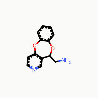 NCC1Oc2ccccc2Oc2ccncc21